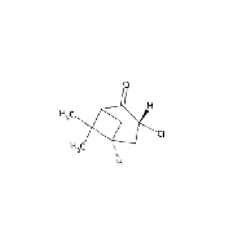 CC1(C)C2C[C@H]1C[C@@H](Cl)C2=O